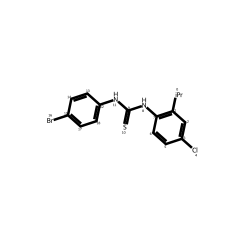 CC(C)c1cc(Cl)ccc1NC(=S)Nc1ccc(Br)cc1